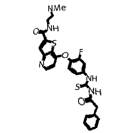 CNCCNC(=O)c1cc2nccc(Oc3ccc(NC(=S)NC(=O)Cc4ccccc4)cc3F)c2s1